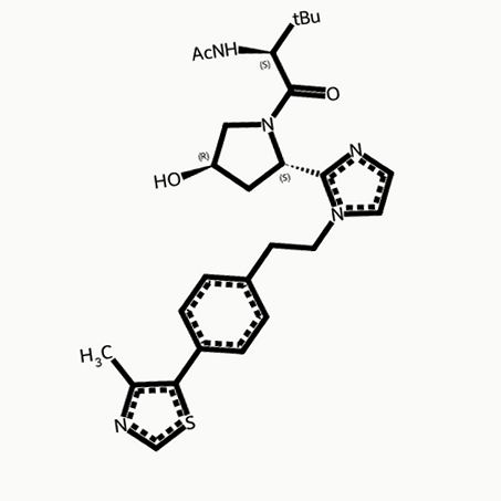 CC(=O)N[C@H](C(=O)N1C[C@H](O)C[C@H]1c1nccn1CCc1ccc(-c2scnc2C)cc1)C(C)(C)C